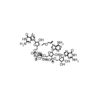 C=CCOCC[C@@H]1[C@@H](COP(=O)(O)OP(=O)(O)OP(=O)(O)OC[C@H]2O[C@@H](n3cnc4c(N)ncnc43)[C@H](OC)[C@@H]2P(=O)(O)OC[C@H]2O[C@@H](n3cnc4c(=O)[nH]c(N)nc43)[C@H](O)[C@@H]2O)OC(n2c[n+](C)c3c(=O)[nH]c(N)nc32)[C@@H]1O